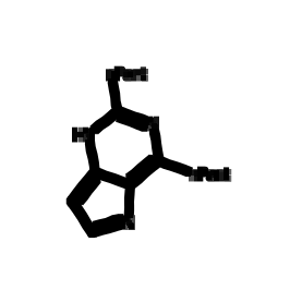 CCCCCc1nc(CCCCC)c2nccc-2[nH]1